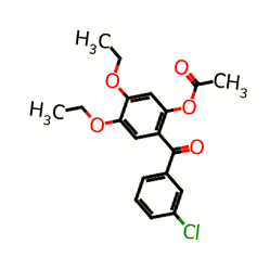 CCOc1cc(OC(C)=O)c(C(=O)c2cccc(Cl)c2)cc1OCC